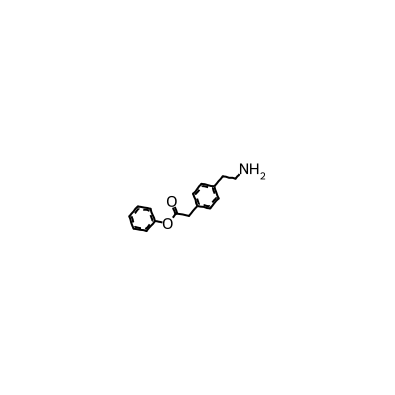 NCCc1ccc(CC(=O)Oc2ccccc2)cc1